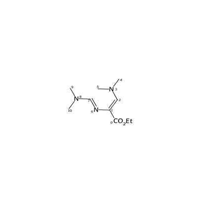 CCOC(=O)C(=CN(C)C)N=CN(C)C